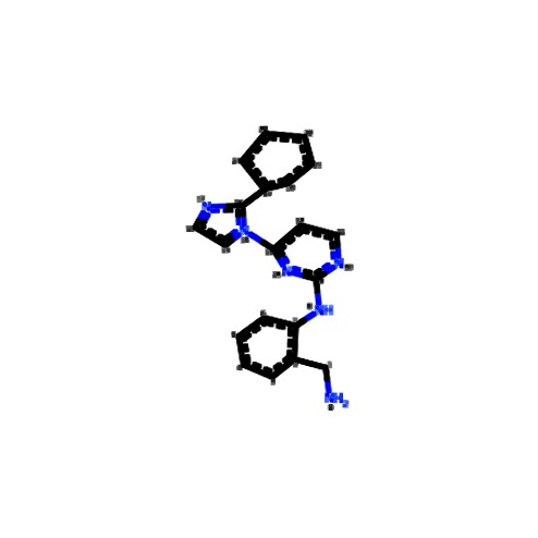 NCc1ccccc1Nc1nccc(-n2ccnc2-c2ccccc2)n1